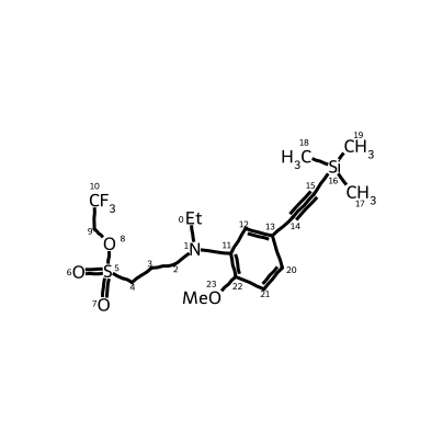 CCN(CCCS(=O)(=O)OCC(F)(F)F)c1cc(C#C[Si](C)(C)C)ccc1OC